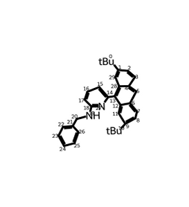 CC(C)(C)c1ccc2cc3ccc(C(C)(C)C)cc3c(-c3cccc(NCc4ccccc4)n3)c2c1